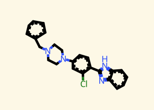 Clc1cc(N2CCN(Cc3ccccc3)CC2)ccc1-c1nc2ccccc2[nH]1